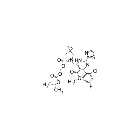 COC(=O)C1=C(CN2CC3(CC3)C[C@H]2C(=O)OCOC(=O)OC(C)C)NC(c2nccs2)=NC1c1ccc(F)cc1Cl